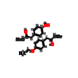 C=COc1ccc(CC(=O)OC)cc1.COC(=O)Cc1ccc(O)cc1